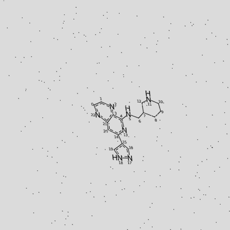 c1cnc2c(NCC3CCCNC3)nc(-c3cn[nH]c3)cc2n1